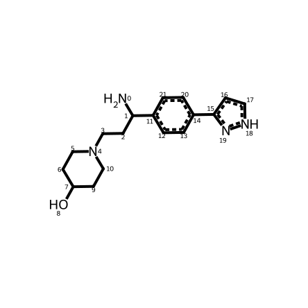 NC(CCN1CCC(O)CC1)c1ccc(-c2cc[nH]n2)cc1